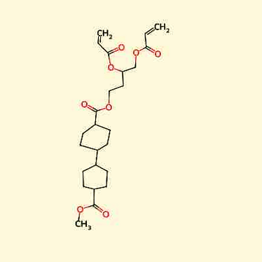 C=CC(=O)OCC(CCOC(=O)C1CCC(C2CCC(C(=O)OC)CC2)CC1)OC(=O)C=C